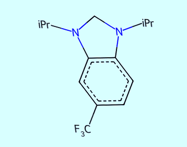 CC(C)N1CN(C(C)C)c2cc(C(F)(F)F)ccc21